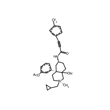 CC(=O)Oc1cccc([C@@]23CC[N@+](C)(CC4CC4)CC2(O)CC[C@H](NC(=O)C#Cc2ccc(C(F)(F)F)cc2)C3)c1